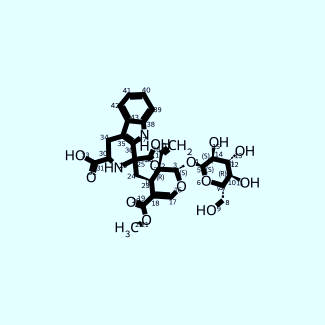 C=C[C@H]1[C@H](O[C@@H]2O[C@@H](CO)[C@H](O)[C@@H](O)[C@@H]2O)OC=C(C(=O)OC)[C@H]1CC1(C(=O)O)NC(C(=O)O)Cc2c1[nH]c1ccccc21